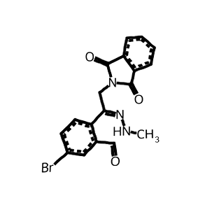 CN/N=C(/CN1C(=O)c2ccccc2C1=O)c1ccc(Br)cc1C=O